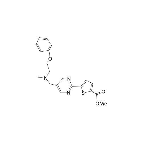 COC(=O)c1ccc(-c2ncc(CN(C)CCOc3ccccc3)cn2)s1